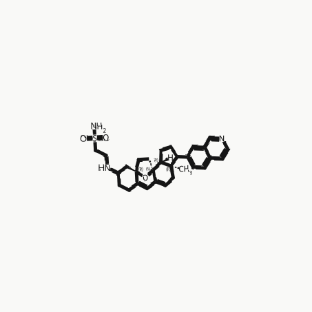 C[C@]12CC=C3C=C4CCC(NCCS(N)(=O)=O)C[C@]45CC[C@]3(O5)[C@@H]1CCC2c1ccc2ccncc2c1